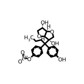 CCCC(c1ccc(O)cc1)(c1ccc(O[N+](=O)[O-])cc1)[C@]1(O)CO[C@@H]2[C@@H](O)CO[C@@H]21